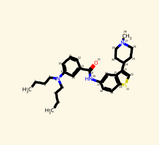 CCCCN(CCCC)c1cccc(C(=O)Nc2ccc3scc(C4CCN(C)CC4)c3c2)c1